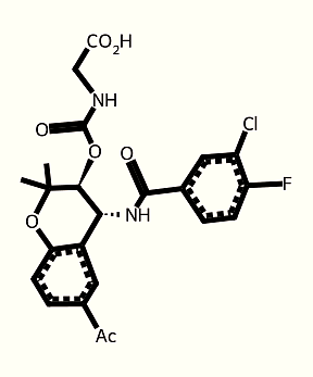 CC(=O)c1ccc2c(c1)[C@@H](NC(=O)c1ccc(F)c(Cl)c1)[C@H](OC(=O)NCC(=O)O)C(C)(C)O2